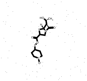 C[C@@H](O)[C@H]1C(=O)N2CC(C(=O)OSC3CC[S+]([O-])CC3)S[C@H]12